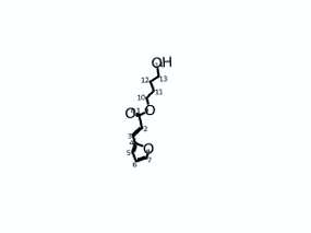 O=C(/C=C/c1ccco1)OCCCCO